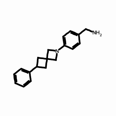 NCc1ccc(N2CC3(CC(c4ccccc4)C3)C2)cc1